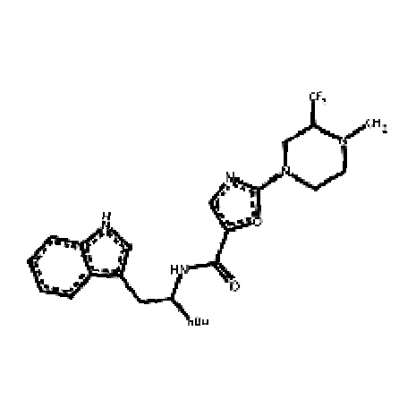 CCCCC(Cc1c[nH]c2ccccc12)NC(=O)c1cnc(N2CCN(C)C(C(F)(F)F)C2)o1